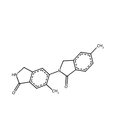 Cc1ccc2c(c1)CN(c1cc3c(cc1C)C(=O)NC3)C2=O